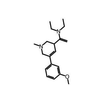 C=C(C1C=C(c2cccc(OC)c2)CN(C)C1)N(CC)CC